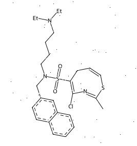 CCN(CC)CCCCN(Cc1ccc2ccccc2c1)S(=O)(=O)/C1=C(Cl)/N=C(\C)S/C=C\C1